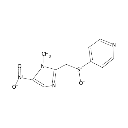 Cn1c([N+](=O)[O-])cnc1C[S+]([O-])c1ccncc1